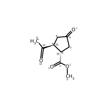 COC(=O)[C@H]1CC(=O)C[C@@H]1C(C)=O